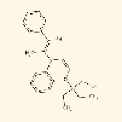 [2H]/C(=C(/C)C(/C=C\O[Si](CC)(CC)CC)c1ccccc1)c1ccccc1